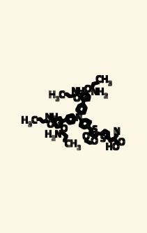 CCCC(N)Oc1ccc(-c2ccc(N(c3ccc(-c4ccc(OC(N)CCC)cc4OC(N)CCC)cc3)c3ccc(-c4sc(-c5ccc(/C=C(\C#N)C(=O)O)s5)c5c4OCCO5)cc3)cc2)c(OC(N)CCC)c1